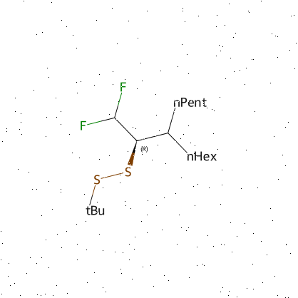 CCCCCCC(CCCCC)[C@@H](SSC(C)(C)C)C(F)F